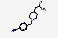 CC(C)CC1CCN(Cc2ccc(C#N)cc2)CC1